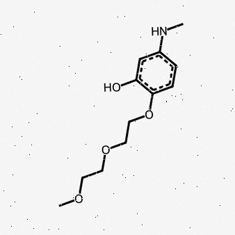 CNc1ccc(OCCOCCOC)c(O)c1